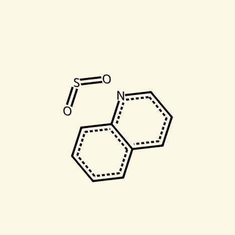 O=S=O.c1ccc2ncccc2c1